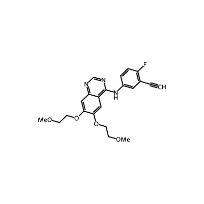 C#Cc1cc(Nc2ncnc3cc(OCCOC)c(OCCOC)cc23)ccc1F